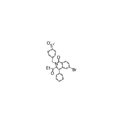 CCC(=O)c1c(-c2ccccc2)c2cc(Br)ccc2c(=O)n1Cc1ccc([S+](C)[O-])cc1